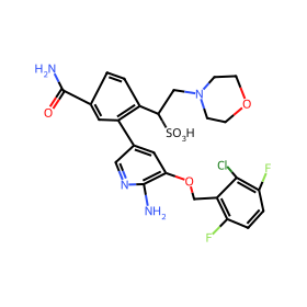 NC(=O)c1ccc(C(CN2CCOCC2)S(=O)(=O)O)c(-c2cnc(N)c(OCc3c(F)ccc(F)c3Cl)c2)c1